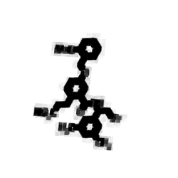 COc1ccccc1COc1ccc(CCC(=O)O)c(C(=O)NC(CC(C)C)c2cc(C)cc(C)c2)c1